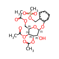 CC(=O)OC[C@H]1O[C@@H](Oc2ccccc2COS(C)(=O)=O)[C@H](O)[C@@H](OC(C)=O)[C@H]1OC(C)=O